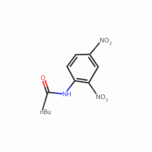 CCCCC(=O)Nc1ccc([N+](=O)[O-])cc1[N+](=O)[O-]